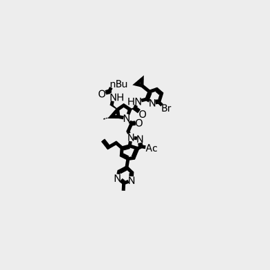 C=CCc1cc(-c2cnc(C)nc2)cc2c(C(C)=O)nn(CC(=O)N3C4[C@H](C)[C@]4(CNC(=O)CCCC)C[C@H]3C(=O)Nc3nc(Br)ccc3C3CC3)c12